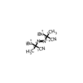 CCC(C)C(C)(C#N)N=NC(C)(C#N)C(C)CC